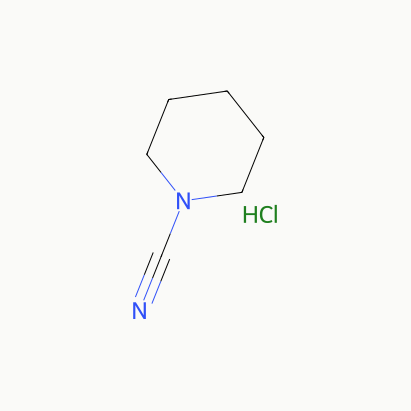 Cl.N#CN1CCCCC1